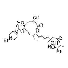 CCC(O)C(C)C1OC1CC(C)(O)/C=C/C=C(\C)C1OC(=O)CC(O)CCC(C)(O)C(OC(=O)N2CCN(CC)CC2)/C=C/C1C